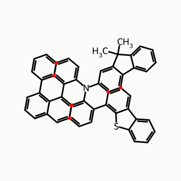 CC1(C)c2ccccc2-c2ccc(N(c3ccccc3-c3cccc4c3sc3ccccc34)c3ccccc3-c3cccc4cccc(-c5ccccc5)c34)cc21